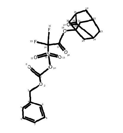 O=C(OCc1ccccc1)OS(=O)(=O)C(F)(F)C(=O)OC12CC3CC(C1)C(=O)C(C3)C2